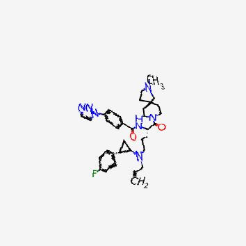 C=CCN(CCC[C@H](NC(=O)c1ccc(-n2ccnn2)cc1)C(=O)N1CCC2(CCN(C)C2)CC1)[C@@H]1C[C@H]1c1ccc(F)cc1